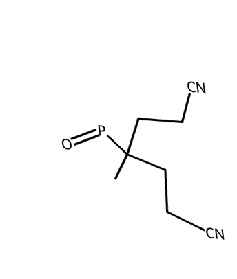 CC(CCC#N)(CCC#N)P=O